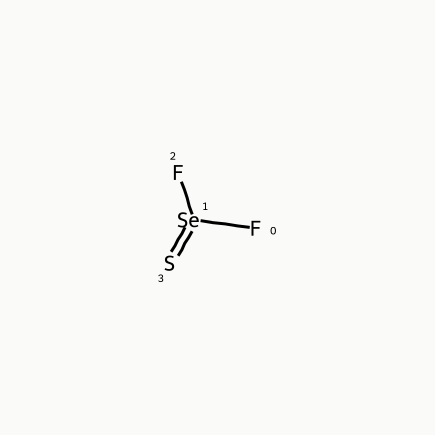 F[Se](F)=S